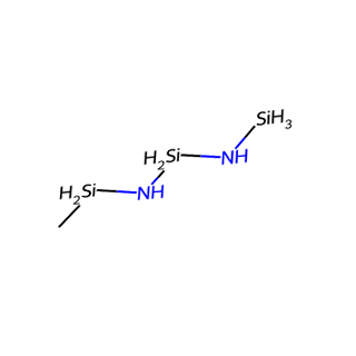 C[SiH2]N[SiH2]N[SiH3]